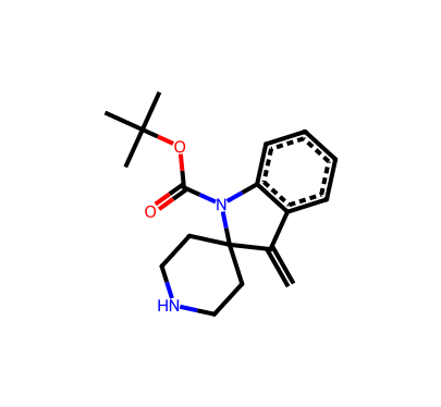 C=C1c2ccccc2N(C(=O)OC(C)(C)C)C12CCNCC2